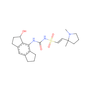 CN1CCCC1(C)/C=C/S(=O)(=O)NC(=O)Nc1c2c(cc3c1C(O)CC3)CCC2